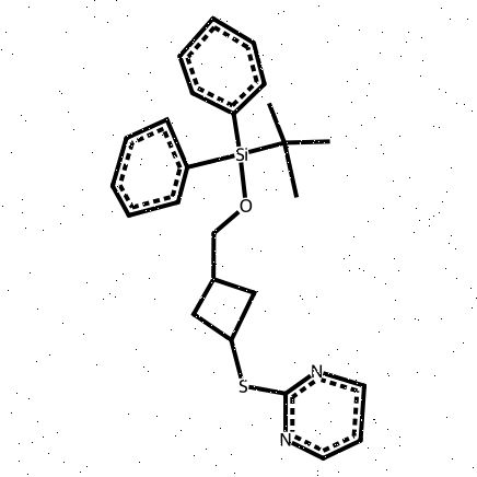 CC(C)(C)[Si](OCC1CC(Sc2ncccn2)C1)(c1ccccc1)c1ccccc1